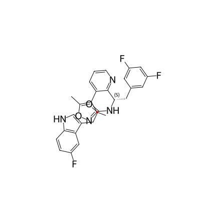 Cc1noc(C)c1-c1cccnc1[C@H](Cc1cc(F)cc(F)c1)NC(=O)Cc1c[nH]c2ccc(F)cc12